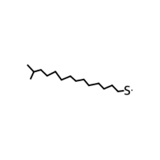 CC(C)CCCCCCCCCCCC[S]